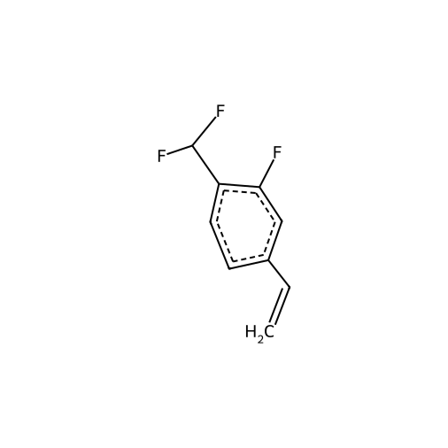 C=Cc1ccc(C(F)F)c(F)c1